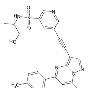 CC(CO)NS(=O)(=O)c1cncc(C#Cc2cnn3c(C(F)(F)F)cc(-c4ccc(C(F)(F)F)cc4)nc23)c1